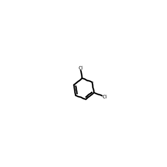 ClC1=CC=CC(Cl)[CH]1